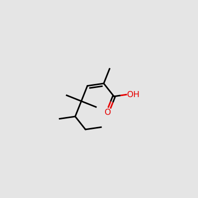 CCC(C)C(C)(C)C=C(C)C(=O)O